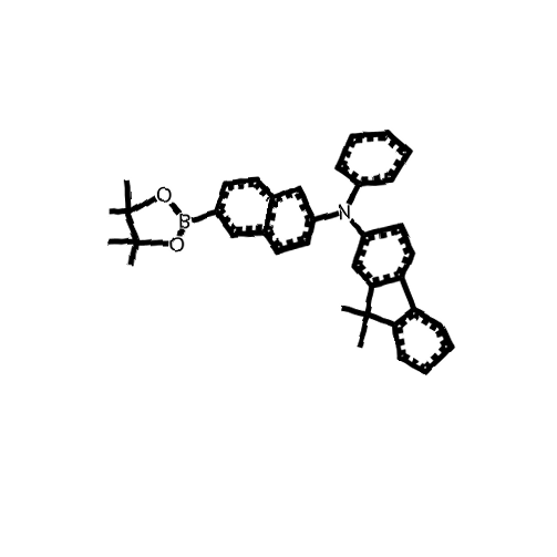 CC1(C)c2ccccc2-c2ccc(N(c3ccccc3)c3ccc4cc(B5OC(C)(C)C(C)(C)O5)ccc4c3)cc21